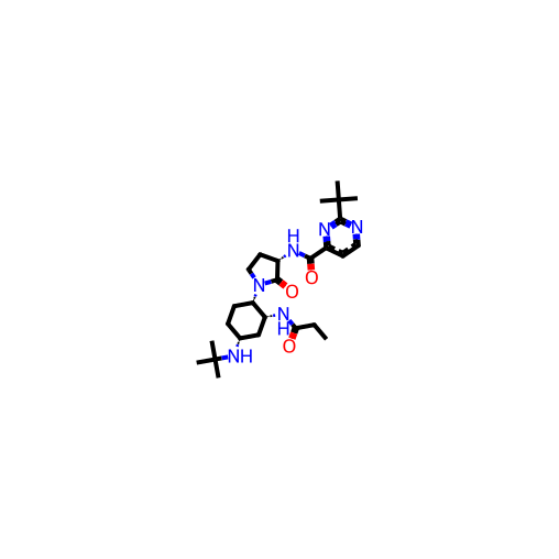 CCC(=O)N[C@@H]1C[C@H](NC(C)(C)C)CC[C@@H]1N1CC[C@H](NC(=O)c2ccnc(C(C)(C)C)n2)C1=O